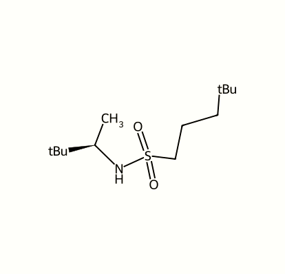 C[C@@H](NS(=O)(=O)CCCC(C)(C)C)C(C)(C)C